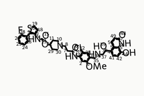 COc1cc(NC(=O)CCN2CCC(OC(=O)Nc3ccsc3-c3ccccc3F)CC2)c(Cl)cc1CNC[C@@H](O)c1ccc(O)c2[nH]c(=O)ccc12